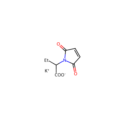 CCC(C(=O)[O-])N1C(=O)C=CC1=O.[K+]